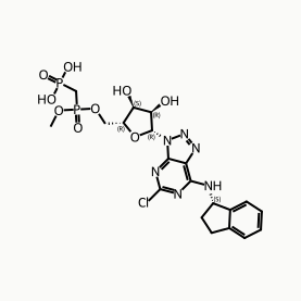 COP(=O)(CP(=O)(O)O)OC[C@H]1O[C@@H](n2nnc3c(N[C@H]4CCc5ccccc54)nc(Cl)nc32)[C@H](O)[C@@H]1O